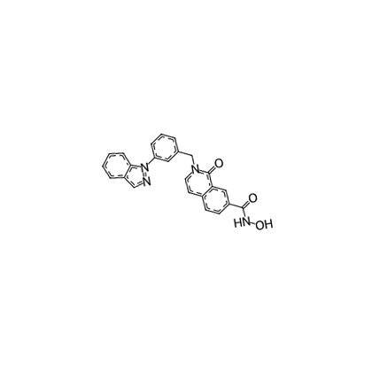 O=C(NO)c1ccc2ccn(Cc3cccc(-n4ncc5ccccc54)c3)c(=O)c2c1